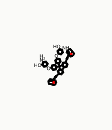 Nc1ccc(Oc2ccc(C3(c4ccc(Oc5ccc(N)c(O)c5)cc4)c4cc(C#CC56CC7CC(CC(C7)C5)C6)ccc4-c4ccc(C#CC56CC7CC(CC(C7)C5)C6)cc43)cc2)cc1O